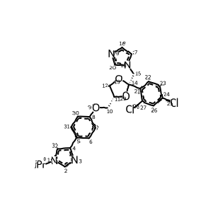 CC(C)n1cnc(-c2ccc(OC[C@@H]3CO[C@@](Cn4ccnc4)(c4ccc(Cl)cc4Cl)O3)cc2)c1